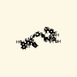 CCc1cccc2cc(O)cc(-c3ncc4c(N5CC6CCC(C5)N6)nc(OCCN5CCC(OC6CN(c7cc([C@H](C(=O)N8C[C@H](O)C[C@H]8C(=O)N[C@@H](C)c8ccc(-c9scnc9C)cc8)C(C)C)on7)C6)CC5)nc4c3F)c12